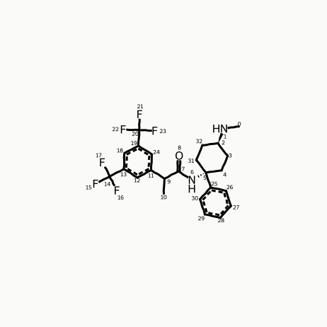 CN[C@H]1CC[C@@](NC(=O)C(C)c2cc(C(F)(F)F)cc(C(F)(F)F)c2)(c2ccccc2)CC1